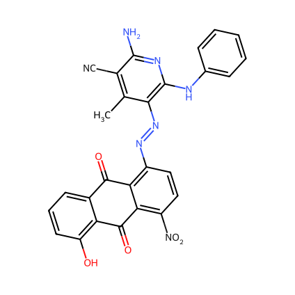 Cc1c(C#N)c(N)nc(Nc2ccccc2)c1/N=N/c1ccc([N+](=O)[O-])c2c1C(=O)c1cccc(O)c1C2=O